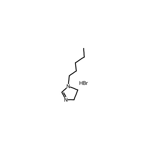 Br.CCCCCN1C=NCC1